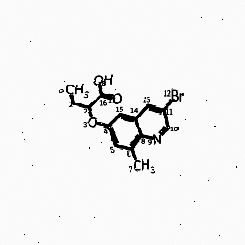 CCC(Oc1cc(C)c2ncc(Br)cc2c1)C(=O)O